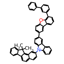 CC1(C)c2ccccc2-c2ccc3ccc(-n4c5ccccc5c5cc(-c6ccc7oc8c(-c9cccc(-c%10ccccc%10)c9)cccc8c7c6)ccc54)cc3c21